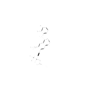 CN1CCC(C#Cc2cc3ncnc(Nc4cccc(Cl)c4F)c3cc2N)(C(F)(F)F)C1